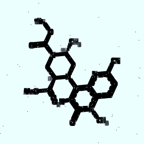 COC(=O)[C@H]1CN(C(=O)OC(C)(C)C)[C@H](C)CN1c1c([N+](=O)[O-])c(=O)n(C)c2ccc(C#N)nc12